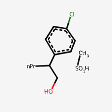 CCCC(CO)c1ccc(Cl)cc1.CS(=O)(=O)O